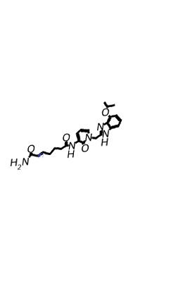 CC(C)Oc1cccc2[nH]c(Cn3cccc(NC(=O)CCC/C=C/C(N)=O)c3=O)nc12